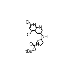 CC(C)(C)OC(=O)N1CCC(Nc2cnc3nc(Cl)cc(Cl)c3c2)C1